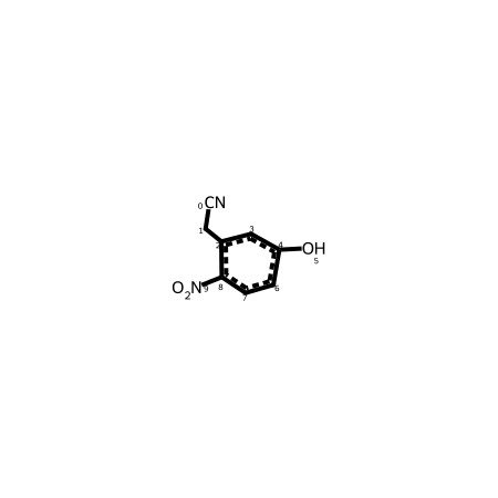 N#CCc1cc(O)ccc1[N+](=O)[O-]